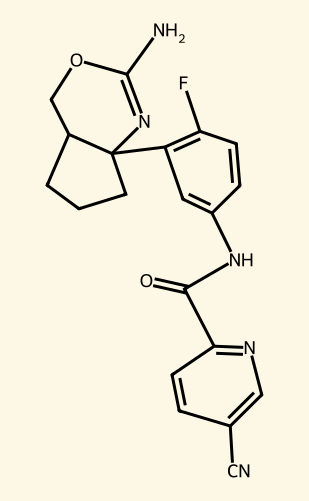 N#Cc1ccc(C(=O)Nc2ccc(F)c(C34CCCC3COC(N)=N4)c2)nc1